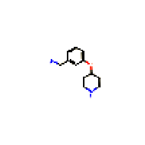 NCc1cccc(OC2CCNCC2)c1